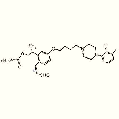 CCCCCCCC(=O)OCN(C)c1cc(OCCCCN2CCN(c3cccc(Cl)c3Cl)CC2)ccc1/C=C\C=O